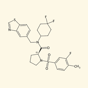 Cc1ccc(S(=O)(=O)N2CCC[C@H]2C(=O)N(Cc2ccc3scnc3c2)C2CCC(F)(F)CC2)cc1F